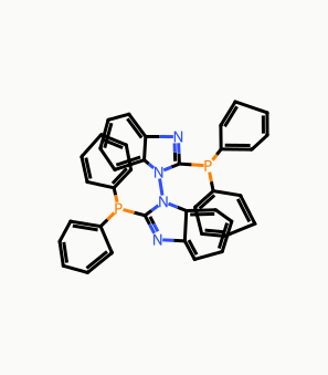 c1ccc(P(c2ccccc2)c2nc3ccccc3n2-n2c(P(c3ccccc3)c3ccccc3)nc3ccccc32)cc1